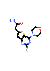 NC(=O)Cc1cc2nc(Cl)nc(N3CCOCC3)c2s1